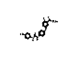 CNC(=O)c1cc(Oc2ccc(NC(=O)Nc3ccc(Cl)cc3)cc2)ccc1F